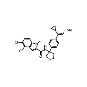 COC=C(c1ccc(C2(NC(=O)c3cc4c(Cl)c(Cl)ccc4n3C)CCOC2)cc1)C1CC1